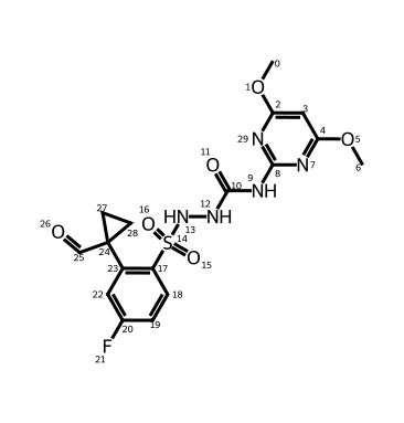 COc1cc(OC)nc(NC(=O)NNS(=O)(=O)c2ccc(F)cc2C2(C=O)CC2)n1